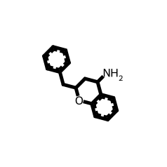 NC1CC(Cc2ccccc2)Oc2ccccc21